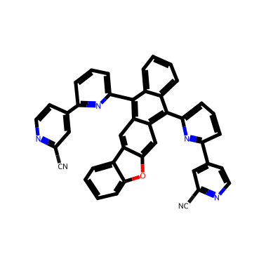 N#Cc1cc(-c2cccc(-c3c4ccccc4c(-c4cccc(-c5ccnc(C#N)c5)n4)c4cc5c(cc34)oc3ccccc35)n2)ccn1